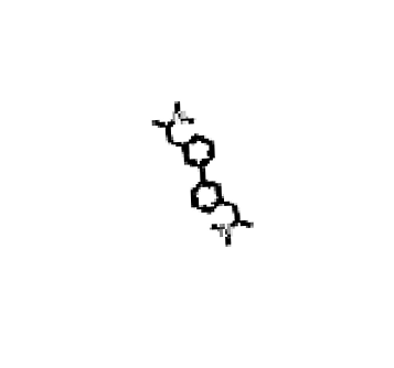 CC(Cc1cccc(-c2cccc(CC(C)N(C)C)c2)c1)N(C)C